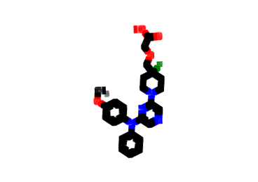 COc1ccc(N(c2ccccc2)c2cncc(N3CCC(F)(COCC(=O)O)CC3)n2)cc1